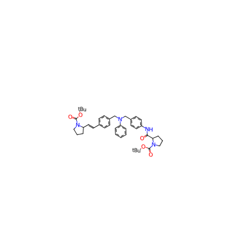 CC(C)(C)OC(=O)N1CCCC1C=Cc1ccc(CN(Cc2ccc(NC(=O)C3CCCN3C(=O)OC(C)(C)C)cc2)c2ccccc2)cc1